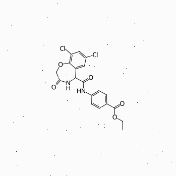 CCOC(=O)c1ccc(NC(=O)C2NC(=O)COc3c(Cl)cc(Cl)cc32)cc1